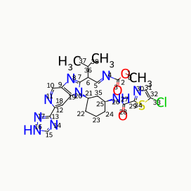 COC(=O)/N=C/C(c1nc2cnc(-c3nc[nH]n3)cc2n1[C@@H]1CCC[C@H](NC(=O)c2ncc(Cl)s2)C1)C(C)C